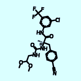 COC(CNC(=O)N[C@](C)(Cc1ccc(C#N)cc1)C(=O)Nc1cc(Cl)cc(C(F)(F)F)c1)OC